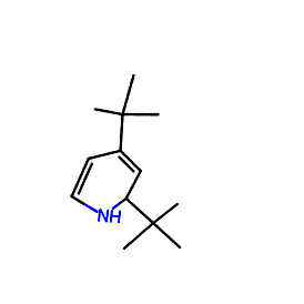 CC(C)(C)C1=CC(C(C)(C)C)NC=C1